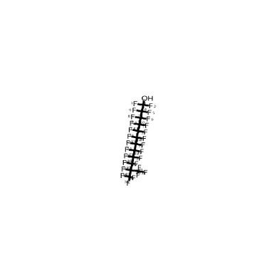 OC(F)(F)C(F)(F)C(F)(F)C(F)(F)C(F)(F)C(F)(F)C(F)(F)C(F)(F)C(F)(F)C(F)(F)C(F)(C(F)(F)F)C(F)(F)F